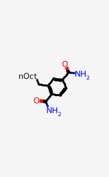 CCCCCCCCCc1cc(C(N)=O)ccc1C(N)=O